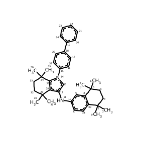 CC1(C)CCC(C)(C)c2cc(Nc3cn(-c4ccc(-c5ccccc5)cc4)c4c3C(C)(C)CCC4(C)C)ccc21